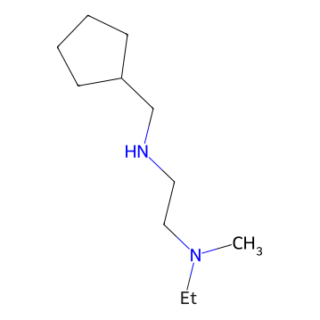 CCN(C)CCNCC1CCCC1